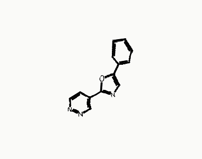 c1ccc(-c2cnc(-c3ccnnc3)o2)cc1